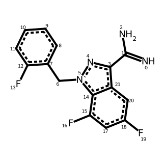 N=C(N)c1nn(Cc2ccccc2F)c2c(F)cc(F)cc12